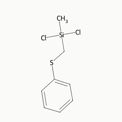 C[Si](Cl)(Cl)CSc1ccccc1